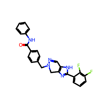 O=C(Nc1ccccc1)c1ccc(CN2Cc3nc(-c4cccc(F)c4F)[nH]c3C=N2)cc1